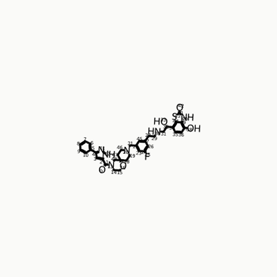 O=C(c1cc(-c2ccccc2)n[nH]1)N1CCOC2(CCN(Cc3cc(F)cc(CCNC[C@H](O)c4ccc(O)c5[nH]c(=O)sc45)c3)CC2)C1